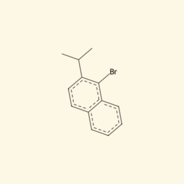 CC(C)c1ccc2ccccc2c1Br